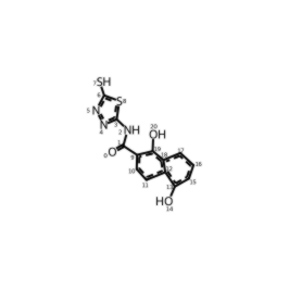 O=C(Nc1nnc(S)s1)c1ccc2c(O)cccc2c1O